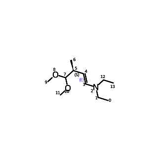 CCN(/C=C/[C@H](C)C(OC)OC)CC